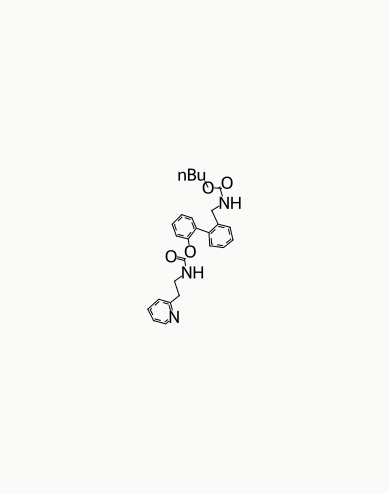 CCCCOC(=O)NCc1ccccc1-c1ccccc1OC(=O)NCCc1ccccn1